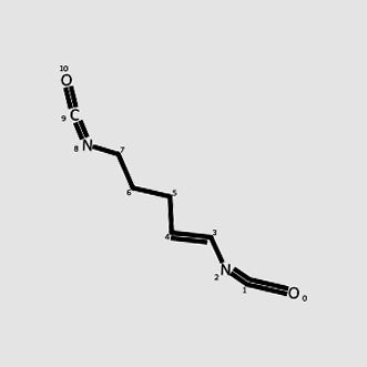 O=C=NC=CCCCN=C=O